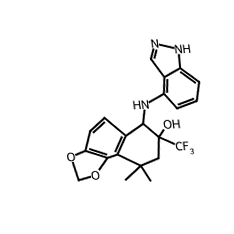 CC1(C)CC(O)(C(F)(F)F)C(Nc2cccc3[nH]ncc23)c2ccc3c(c21)OCO3